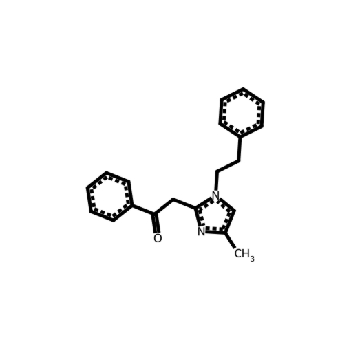 Cc1cn(CCc2ccccc2)c(CC(=O)c2ccccc2)n1